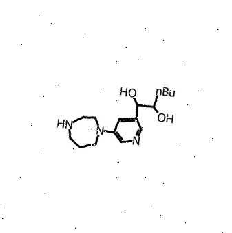 CCCCC(O)C(O)c1cncc(N2CCCNCC2)c1